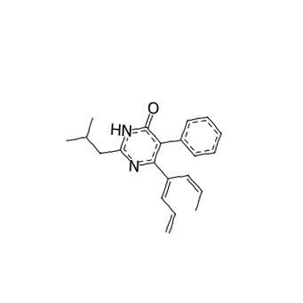 C=C/C=C(\C=C/C)c1nc(CC(C)C)[nH]c(=O)c1-c1ccccc1